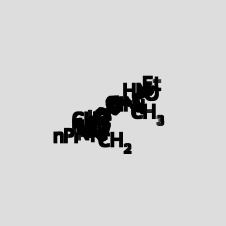 C=CNN(CCC)C/C1=N/C(=C)/C=C\C2=CC(C3C#CCC(CN/C(CCNC(=O)CC)=N\C)C=C3)CC[C@H]2CN1